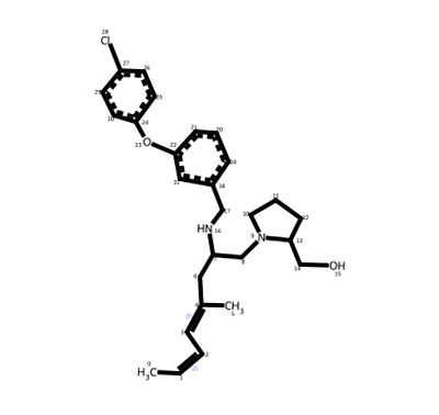 C/C=C\C=C(/C)CC(CN1CCCC1CO)NCc1cccc(Oc2ccc(Cl)cc2)c1